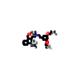 CCOc1cc(CCN(C)CCCC(C=O)c2ccccc2C(C)C)cc(OCC)c1